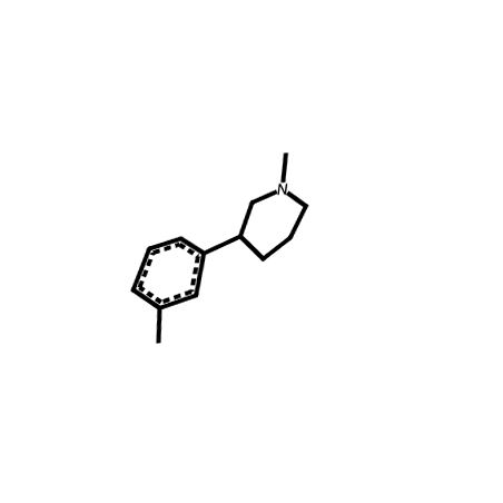 Cc1cccc(C2CCCN(C)C2)c1